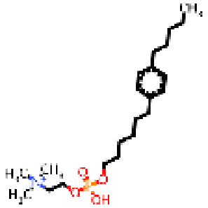 CCCCCc1ccc(CCCCCCOP(=O)(O)OCC[N+](C)(C)C)cc1